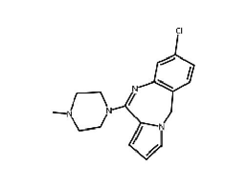 CN1CCN(C2=Nc3cc(Cl)ccc3Cn3cccc32)CC1